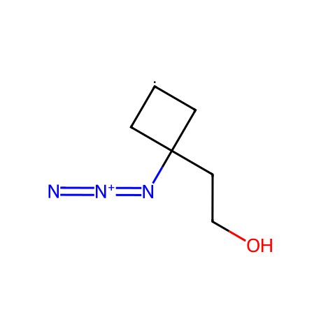 [N-]=[N+]=NC1(CCO)C[CH]C1